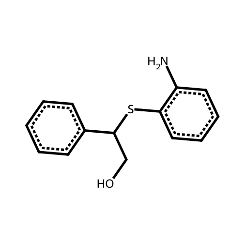 Nc1ccccc1SC(CO)c1ccccc1